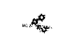 O=C(O)c1ccc(-c2ccccc2)cc1NS(=O)(=O)c1cccc(C(F)(F)F)n1